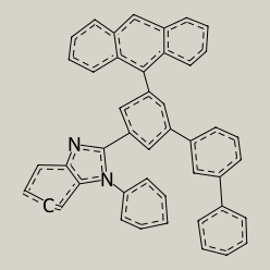 c1ccc(-c2cccc(-c3cc(-c4c5ccccc5cc5ccccc45)cc(-c4nc5ccccc5n4-c4ccccc4)c3)c2)cc1